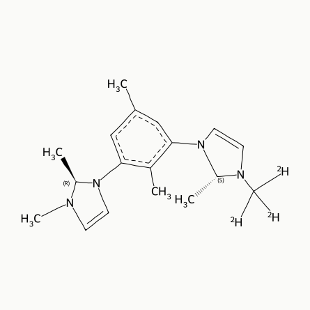 [2H]C([2H])([2H])N1C=CN(c2cc(C)cc(N3C=CN(C)[C@H]3C)c2C)[C@H]1C